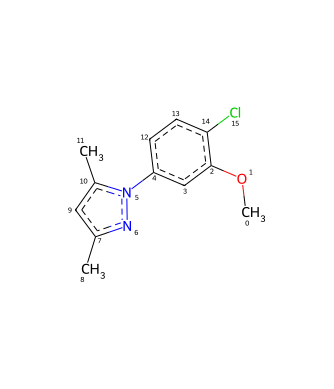 COc1cc(-n2nc(C)cc2C)ccc1Cl